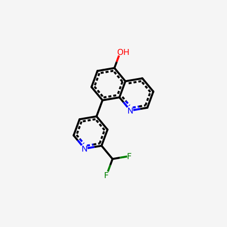 Oc1ccc(-c2ccnc(C(F)F)c2)c2ncccc12